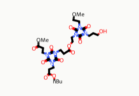 CCCCOC(=O)CCn1c(=O)n(CCC(=O)OC)c(=O)n(CCC(=O)OCCn2c(=O)n(CCCO)c(=O)n(CCOC)c2=O)c1=O